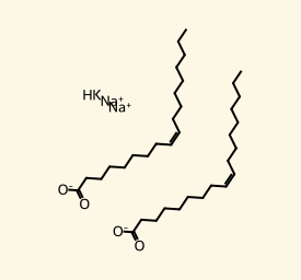 CCCCCCCC/C=C\CCCCCCCC(=O)[O-].CCCCCCCC/C=C\CCCCCCCC(=O)[O-].[KH].[Na+].[Na+]